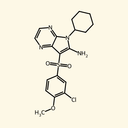 COc1ccc(S(=O)(=O)c2c(N)n(C3CCCCC3)c3nccnc23)cc1Cl